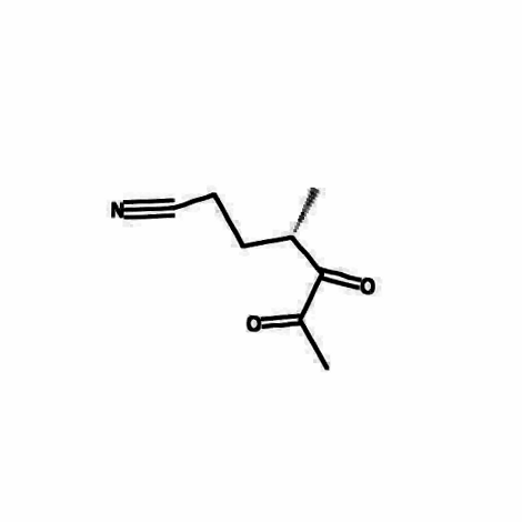 CC(=O)C(=O)[C@@H](C)CCC#N